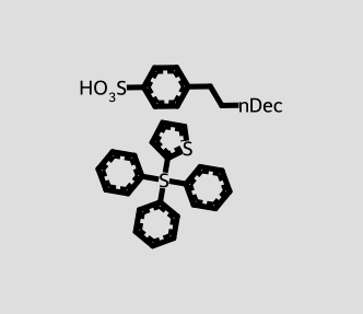 CCCCCCCCCCCCc1ccc(S(=O)(=O)O)cc1.c1ccc(S(c2ccccc2)(c2ccccc2)c2cccs2)cc1